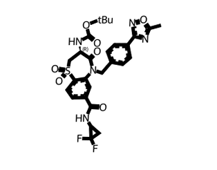 Cc1nc(-c2ccc(CN3C(=O)[C@@H](NC(=O)OC(C)(C)C)CS(=O)(=O)c4ccc(C(=O)NC5CC5(F)F)cc43)cc2)no1